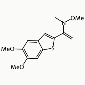 C=C(c1cc2cc(OC)c(OC)cc2s1)N(C)OC